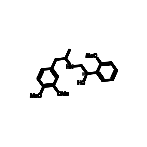 COc1ccc(CC(C)NC[C@H](O)c2ccccc2OC)cc1OC